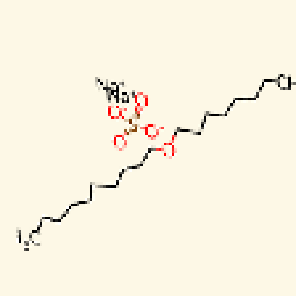 CCCCCCCCCCOCCCCCCCC.O=S(=O)([O-])[O-].[Na+].[Na+]